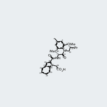 COc1cc(C)cc(OC)c1N(CCC(C)C)C(=O)CNC(=O)c1cc2ccccc2n1CC(=O)O